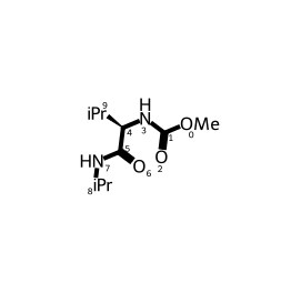 COC(=O)N[C@@H](C(=O)NC(C)C)C(C)C